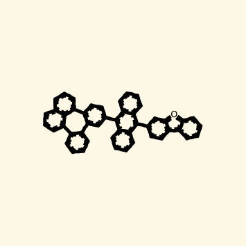 c1ccc2c(c1)-c1cc(-c3c4ccccc4c(-c4ccc5c(c4)oc4ccccc45)c4ccccc34)ccc1-c1cccc3cccc-2c13